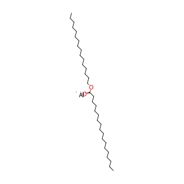 CCCCCCCCCCCCCCCCCC(=O)OCCCCCCCCCCCCCCCC.[Al]